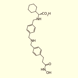 O=C(CCc1ccc(CNCc2ccc(CN[C@H](C(=O)O)C3CCCCC3)cc2)cc1)NO